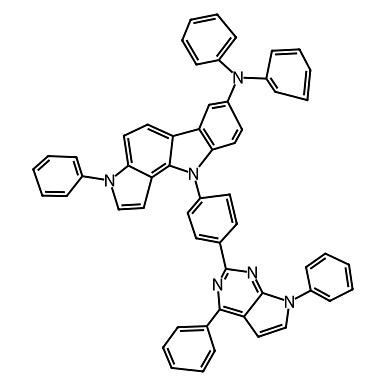 c1ccc(-c2nc(-c3ccc(-n4c5ccc(N(c6ccccc6)c6ccccc6)cc5c5ccc6c(ccn6-c6ccccc6)c54)cc3)nc3c2ccn3-c2ccccc2)cc1